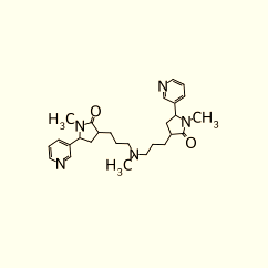 CN(CCCC1CC(c2cccnc2)N(C)C1=O)CCCC1CC(c2cccnc2)N(C)C1=O